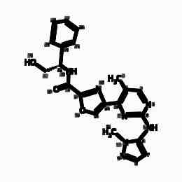 Cc1cnc(Nc2ccnn2C)nc1-c1coc(C(=O)N[C@H](CO)c2ccccc2)n1